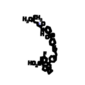 CN(C)C/C=C/C(=O)Nc1cccc(S(=O)(=O)c2ccc(N3CC(CN4CCC(C(CN5CCC5)(c5cccc(F)c5)[C@H]5CCC[C@@H]5NC(=O)O)CC4)C3)cc2)c1